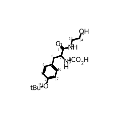 CC(C)(C)Oc1ccc(CC(NC(=O)O)C(=O)NCCO)cc1